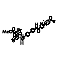 COC(=O)NC(C(=O)N1C[C@@H](N(C)C)C[C@H]1c1nc(-c2ccc(-c3ccc(NC(=O)c4ccc(N5CCN(C(=O)C6CC6)C[C@H]5C)nc4)cc3)cc2)c[nH]1)C(C)C